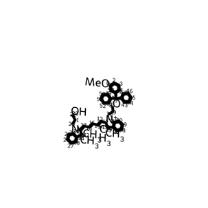 COc1cccc(C(OCCC[N+]2=C(/C=C/C=C/C=C3/N(CCCO)c4ccccc4C3(C)C)C(C)(C)c3ccccc32)(c2ccccc2)c2ccccc2)c1